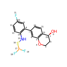 O[C@H]1CCOc2cc(-c3cc(F)ccc3NSP(F)F)ccc21